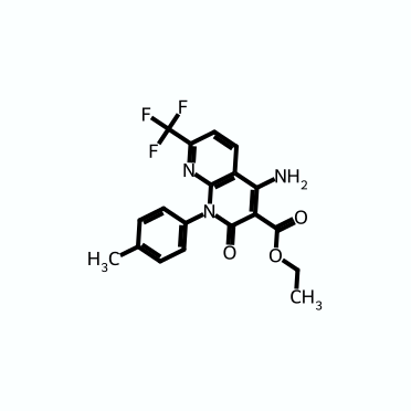 CCOC(=O)c1c(N)c2ccc(C(F)(F)F)nc2n(-c2ccc(C)cc2)c1=O